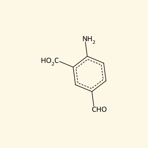 Nc1ccc(C=O)cc1C(=O)O